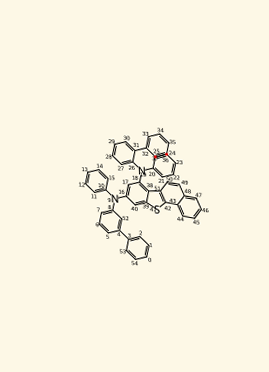 c1ccc(-c2cccc(N(c3ccccc3)c3cc(N(c4ccccc4)c4ccccc4-c4ccccc4)c4c(c3)sc3c5ccccc5ccc34)c2)cc1